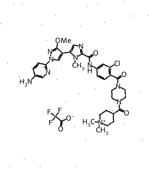 COc1nn(-c2ccc(N)cn2)cc1-c1cnc(C(=O)Nc2ccc(C(=O)N3CCN(C(=O)C4CC[N+](C)(C)CC4)CC3)c(Cl)c2)n1C.O=C([O-])C(F)(F)F